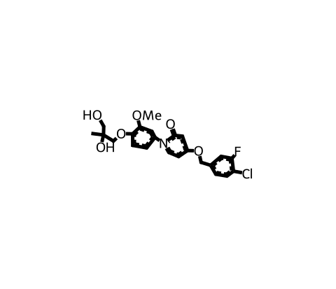 COc1cc(-n2ccc(OCc3ccc(Cl)c(F)c3)cc2=O)ccc1OCC(C)(O)CO